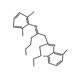 CCCC/C(C/C(CCCC)=N/c1c(C)cccc1C)=N\c1c(C)cccc1C